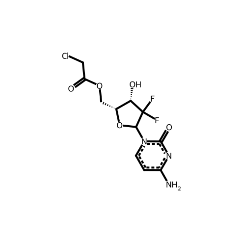 Nc1ccn(C2O[C@H](COC(=O)CCl)[C@H](O)C2(F)F)c(=O)n1